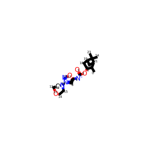 CC1C(OC(=O)[N-]c2c[n+](N3CCOCC3)no2)CC2CC1C2(C)C